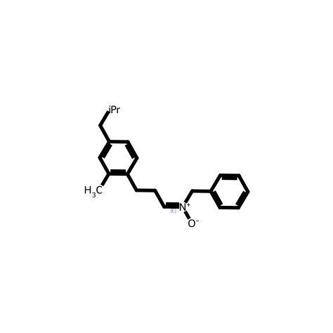 Cc1cc(CC(C)C)ccc1CC/C=[N+](/[O-])Cc1ccccc1